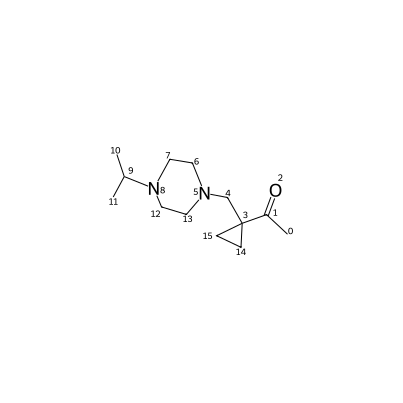 CC(=O)C1(CN2CCN(C(C)C)CC2)CC1